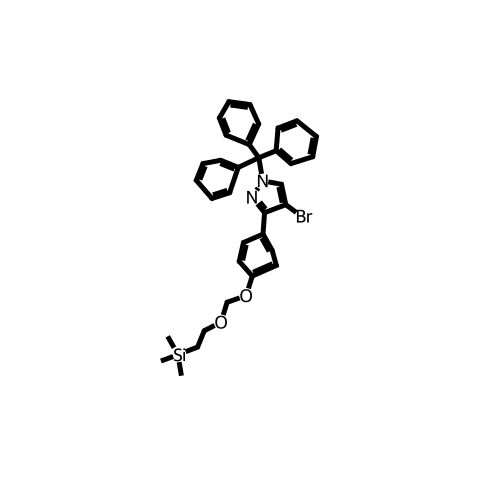 C[Si](C)(C)CCOCOc1ccc(-c2nn(C(c3ccccc3)(c3ccccc3)c3ccccc3)cc2Br)cc1